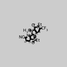 CCn1c(C(F)(F)F)cc2nc(-c3nc(C#N)ccc3S(=O)(=O)CC)n(C)c2c1=O